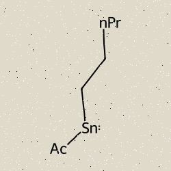 CCCC[CH2][Sn][C](C)=O